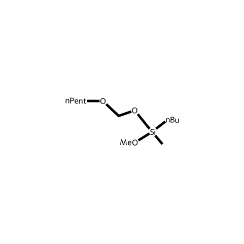 CCCCCOCO[Si](C)(CCCC)OC